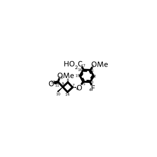 COc1cc(F)c(O[C@H]2C[C@@](C)(C(=O)OC)C2)cc1C(=O)O